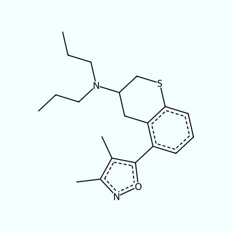 CCCN(CCC)C1CSc2cccc(-c3onc(C)c3C)c2C1